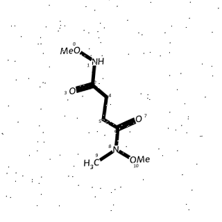 CONC(=O)CCC(=O)N(C)OC